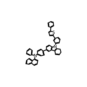 C1=Cc2c(n(-c3cccc(-c4ccc(-c5ccccc5)s4)c3)c3ccc(-c4ccc(N(c5ccccc5)c5cccc6ccccc56)cc4)cc23)CC1